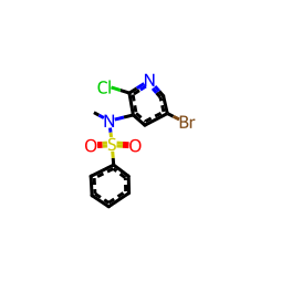 CN(c1cc(Br)cnc1Cl)S(=O)(=O)c1ccccc1